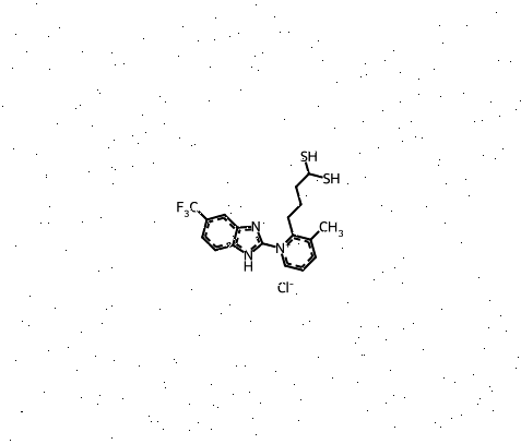 Cc1ccc[n+](-c2nc3cc(C(F)(F)F)ccc3[nH]2)c1CCCC(S)S.[Cl-]